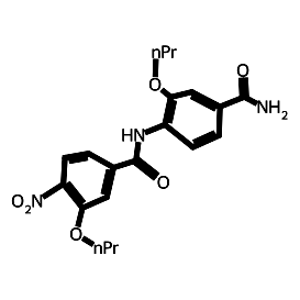 CCCOc1cc(C(N)=O)ccc1NC(=O)c1ccc([N+](=O)[O-])c(OCCC)c1